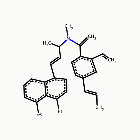 C=Cc1cc(/C=C/C)ccc1C(=C)N(C)C(C)/C=C/c1ccc(CC)c2c(C(C)=O)cccc12